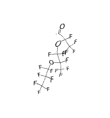 O=[C]C(F)(OC(F)(F)C(F)(OC(F)(F)C(F)(F)C(F)(F)F)C(F)(F)F)C(F)(F)F